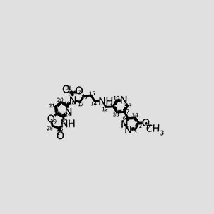 COc1cnnc(-c2cncc(CNCCC3CN(c4ccc5c(n4)NC(=O)CO5)C(=O)O3)c2)c1